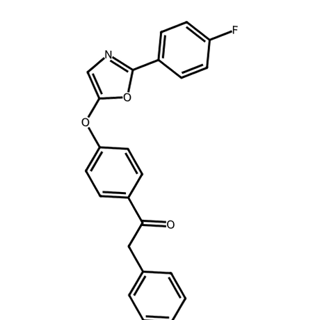 O=C(Cc1ccccc1)c1ccc(Oc2cnc(-c3ccc(F)cc3)o2)cc1